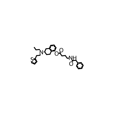 CCCN(CCc1cccs1)[C@H]1CCc2c(cccc2OC(=O)CCCNC(=O)Cc2ccccc2)C1